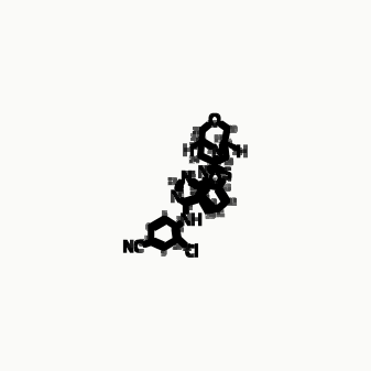 Cc1c(Nc2ccc(C#N)cc2Cl)ncnc1OC1C[C@H]2COC[C@@H](C1)N2c1nc2ccccc2s1